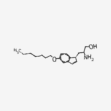 CCCCCCCOc1ccc2c(c1)C=C[C@@H]2CC(N)CO